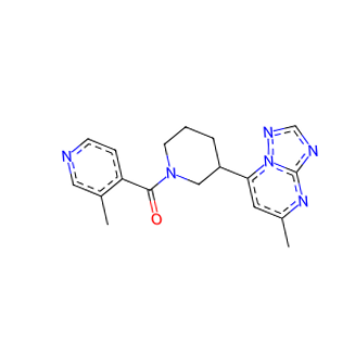 Cc1cc(C2CCCN(C(=O)c3ccncc3C)C2)n2ncnc2n1